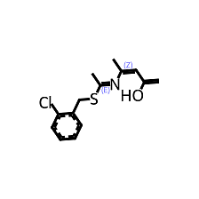 C=C(O)/C=C(C)\N=C(/C)SCc1ccccc1Cl